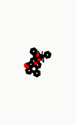 c1ccc(-c2cc(-c3ccc4c(c3)C3(c5ccccc5-c5ccccc5-4)c4ccccc4-c4cc5ccccc5cc43)nc(-c3ccccc3)n2)cc1